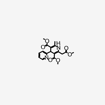 COC(=O)CC1=C(C(=O)OC)C(c2ccccn2)C(C(=O)OC)=C(C)N1